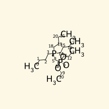 CCCCP(=CP(=O)(OCC)OCC)(CCCC)CCCC